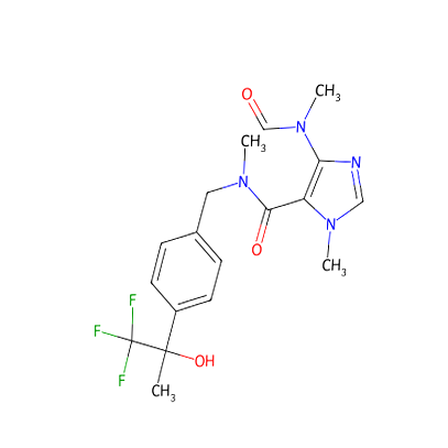 CN(Cc1ccc(C(C)(O)C(F)(F)F)cc1)C(=O)c1c(N(C)C=O)ncn1C